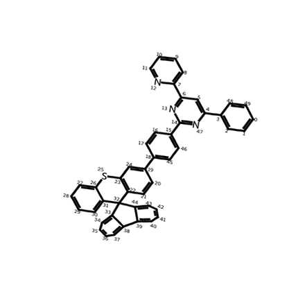 c1ccc(-c2cc(-c3ccccn3)nc(-c3ccc(-c4ccc5c(c4)Sc4ccccc4C54c5ccccc5-c5ccccc54)cc3)n2)cc1